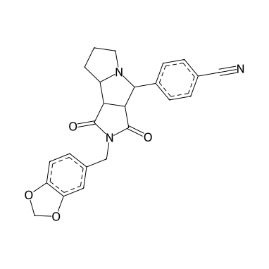 N#Cc1ccc(C2C3C(=O)N(Cc4ccc5c(c4)OCO5)C(=O)C3C3CCCN32)cc1